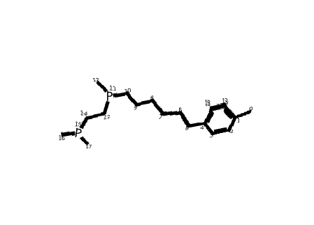 Cc1ccc(CCCCCCP(C)CCP(C)C)cc1